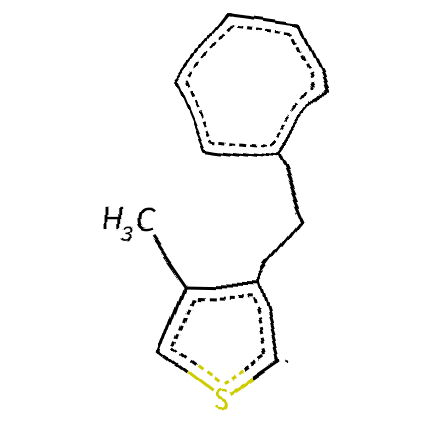 Cc1cs[c]c1Cc1ccccc1